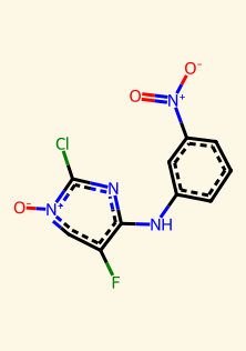 O=[N+]([O-])c1cccc(Nc2nc(Cl)[n+]([O-])cc2F)c1